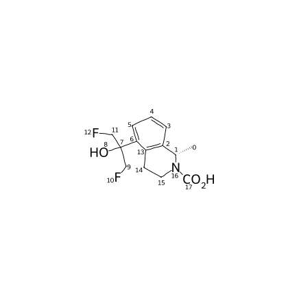 C[C@H]1c2cccc(C(O)(CF)CF)c2CCN1C(=O)O